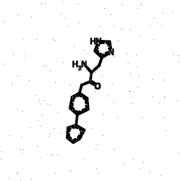 NC(Cc1c[nH]cn1)C(=O)Cc1ccc(-c2ccccc2)cc1